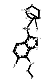 CCOc1c(F)ccc2c(N[C@@H]3CN4CCC3CC4)noc12